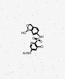 CC(=O)Nc1cnc(S(=O)(=O)Nc2ccc3c(c2)B(O)OC3)c(Cl)c1